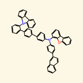 c1ccc(-n2c3ccccc3c3ccccc32)c(-c2ccc(-c3ccc(N(c4ccc(-c5ccc6ccccc6c5)cc4)c4cccc5c4oc4ccccc45)cc3)cc2)c1